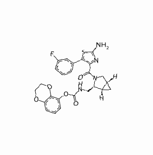 Nc1nc(C(=O)N2C[C@@H]3C[C@@H]3[C@H]2CNC(=O)Oc2cccc3c2OCCO3)c(-c2cccc(F)c2)s1